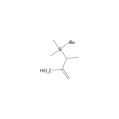 C=C(C(=O)O)C(C)[Si](C)(C)C(C)CC